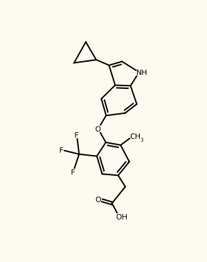 Cc1cc(CC(=O)O)cc(C(F)(F)F)c1Oc1ccc2[nH]cc(C3CC3)c2c1